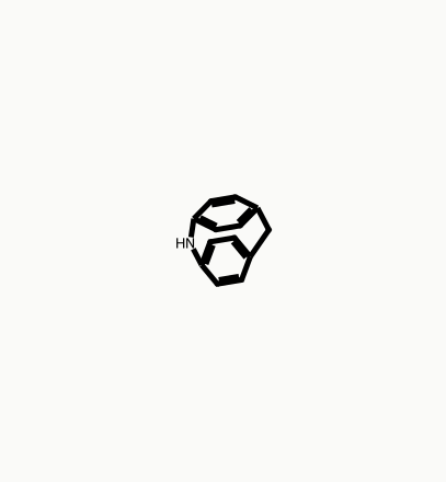 c1cc2ccc1Cc1ccc(cc1)N2